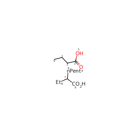 CCCC(=O)O.CCCCCC(CC)C(=O)O